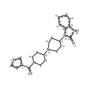 O=C(c1ccsc1)N1CCC(N2CCC(n3c(=O)[nH]c4ccccc43)CC2)CC1